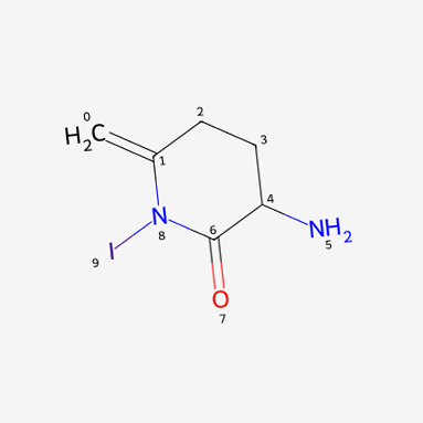 C=C1CCC(N)C(=O)N1I